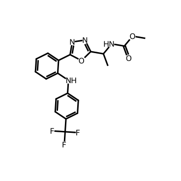 COC(=O)NC(C)c1nnc(-c2ccccc2Nc2ccc(C(F)(F)F)cc2)o1